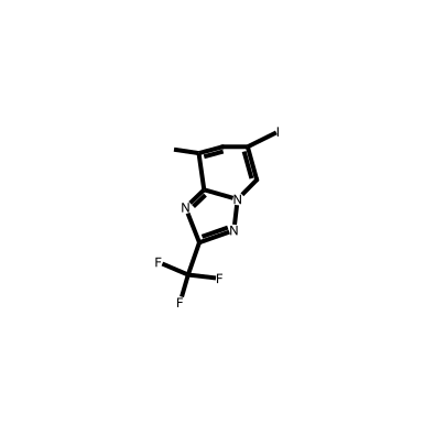 Cc1cc(I)cn2nc(C(F)(F)F)nc12